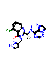 C[C@H](Nc1ncnn2ccnc12)c1nc2cccc(Cl)c2c(=O)n1Cc1cc[nH]n1